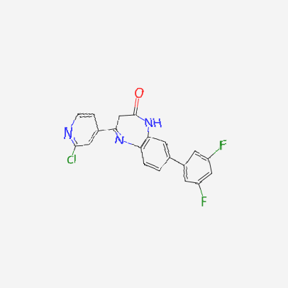 O=C1CC(c2ccnc(Cl)c2)=Nc2ccc(-c3cc(F)cc(F)c3)cc2N1